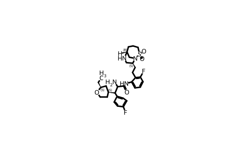 CC[C@H]1C[C@@H](C(c2ccc(F)cc2)C(N)C(=O)Nc2cccc(F)c2CC[C@H]2CN[C@@H]3CCCS(=O)(=O)N2C3)CCO1